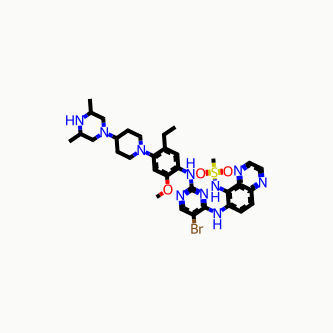 CCc1cc(Nc2ncc(Br)c(Nc3ccc4nccnc4c3NS(C)(=O)=O)n2)c(OC)cc1N1CCC(N2CC(C)NC(C)C2)CC1